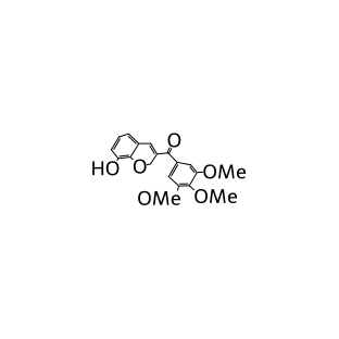 COc1cc(C(=O)C2=Cc3cccc(O)c3OC2)cc(OC)c1OC